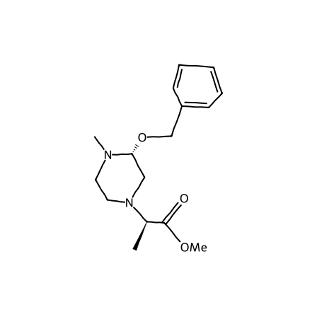 COC(=O)[C@@H](C)N1CCN(C)[C@H](OCc2ccccc2)C1